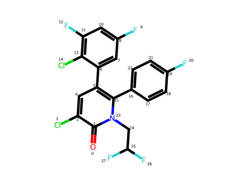 O=c1c(Cl)cc(-c2cc(F)cc(F)c2Cl)c(-c2ccc(F)cc2)n1CC(F)F